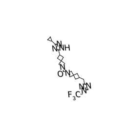 O=C(N1CC2(CC(Cc3ncn(CC(F)(F)F)n3)C2)C1)N1CC2(CC(c3nc(C4CC4)n[nH]3)C2)C1